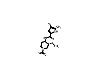 CO[C@H]1CN(C(=O)O)CC[C@H]1NC(=O)c1cc(Cl)c(C)[nH]1